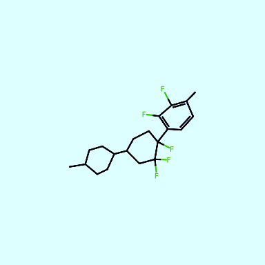 Cc1ccc(C2(F)CCC(C3CCC(C)CC3)CC2(F)F)c(F)c1F